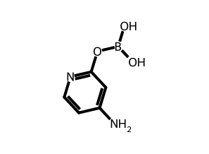 Nc1ccnc(OB(O)O)c1